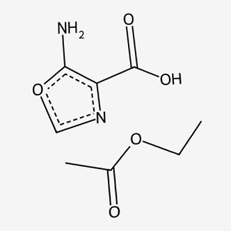 CCOC(C)=O.Nc1ocnc1C(=O)O